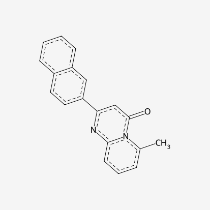 Cc1cccc2nc(-c3ccc4ccccc4c3)cc(=O)n12